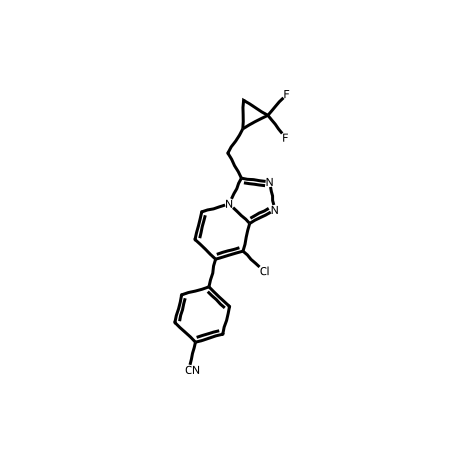 N#Cc1ccc(-c2ccn3c(CC4CC4(F)F)nnc3c2Cl)cc1